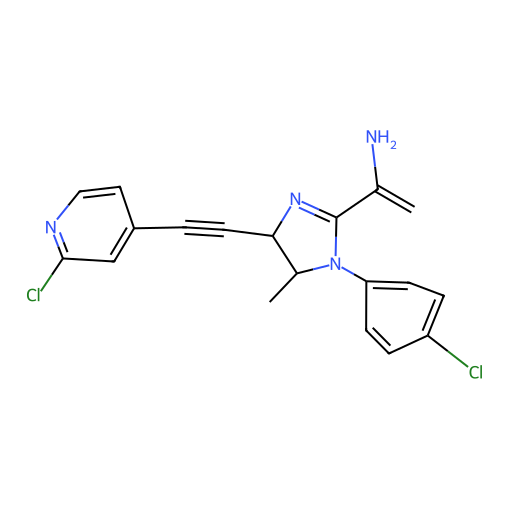 C=C(N)C1=NC(C#Cc2ccnc(Cl)c2)C(C)N1c1ccc(Cl)cc1